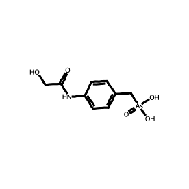 O=C(CO)Nc1ccc(C[As](=O)(O)O)cc1